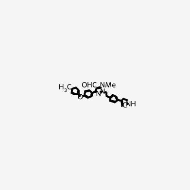 CNc1c(C=O)c(-c2ccc(OC3=CCC(C)C=C3)cc2)nn1CCc1ccc(C2=CCNCC2)cc1